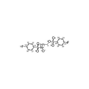 O=S(=O)(OCC[NH+]([O-])S(=O)(=O)c1ccc(F)cc1)c1ccc(F)cc1